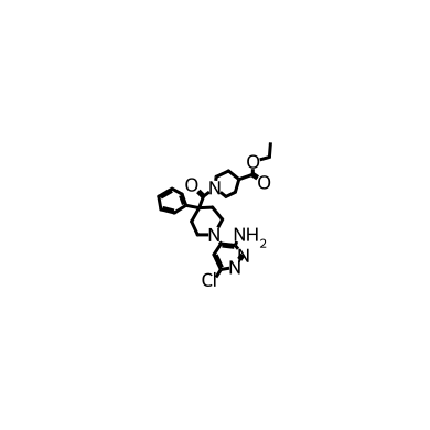 CCOC(=O)C1CCN(C(=O)C2(c3ccccc3)CCN(c3cc(Cl)nnc3N)CC2)CC1